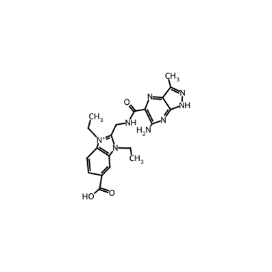 CCn1c(CNC(=O)c2nc3c(C)n[nH]c3nc2N)[n+](CC)c2ccc(C(=O)O)cc21